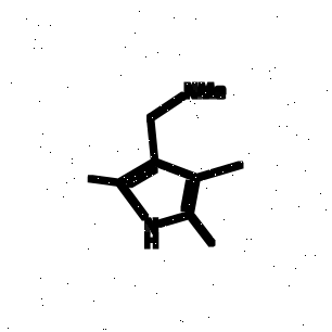 CNCc1c(C)[nH]c(C)c1C